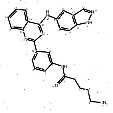 CCCCCC(=O)Nc1cccc(-c2nc(Nc3ccc4[nH]ncc4c3)c3ccccc3n2)c1